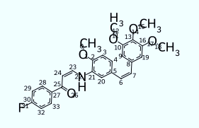 COc1ccc(/C=C\c2cc(OC)c(OC)c(OC)c2)cc1N/C=C\C(=O)c1ccc(F)cc1